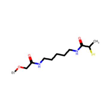 CCOCC(=O)NCCCCCNC(=O)C(C)S